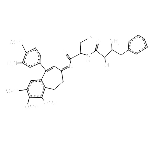 COc1ccc(C2=C/C(=N\C(=O)C(CC(C)C)NC(=O)C(O)C(N)Cc3ccccc3)CCc3c2cc(OC)c(OC)c3OC)cc1N